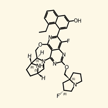 CCc1cccc2cc(O)cc(-c3nc4c5c(nc(OC[C@@]67CCCN6C[C@H](F)C7)nc5c3F)N3C[C@@H]5CC[C@@H](N5)[C@H]3CO4)c12